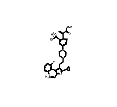 C=Cc1oc(C2CC2)c(CCN2CCN(c3ccc(/C(=C\C)C(=O)OC)c(C(=C)CC)c3)CC2)c1-c1c(Cl)cccc1Cl